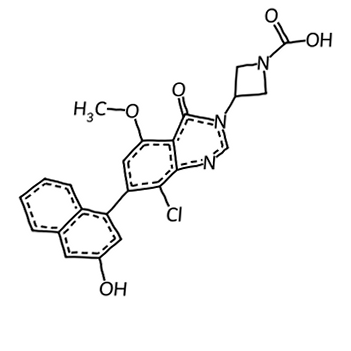 COc1cc(-c2cc(O)cc3ccccc23)c(Cl)c2ncn(C3CN(C(=O)O)C3)c(=O)c12